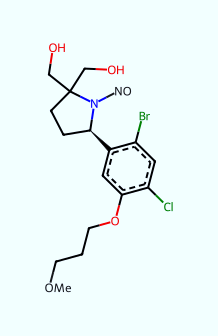 COCCCOc1cc([C@H]2CCC(CO)(CO)N2N=O)c(Br)cc1Cl